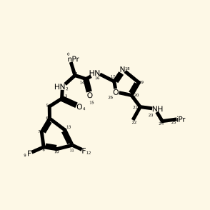 CCCC(NC(=O)Cc1cc(F)cc(F)c1)C(=O)Nc1ncc(C(C)NCC(C)C)o1